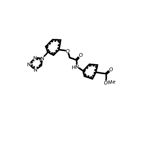 COC(=O)c1ccc(NC(=O)COc2cccc(-n3cnnn3)c2)cc1